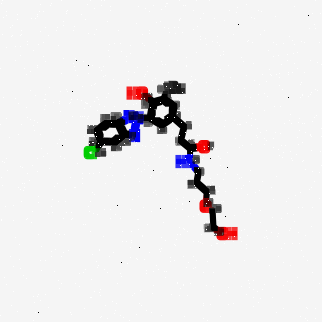 CC(C)(C)c1cc(CCC(=O)NCCCOCCO)cc(-n2nc3ccc(Cl)cc3n2)c1O